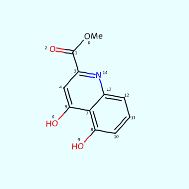 COC(=O)c1cc(O)c2c(O)cccc2n1